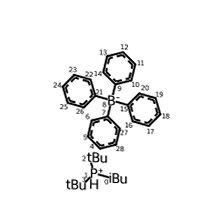 CCC(C)[PH+](C(C)(C)C)C(C)(C)C.c1ccc([B-](c2ccccc2)(c2ccccc2)c2ccccc2)cc1